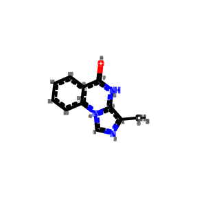 Cc1ncn2c1[nH]c(=O)c1ccccc12